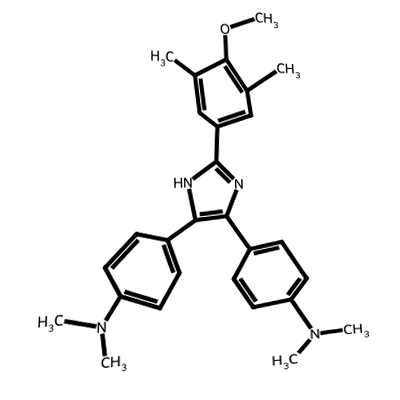 COc1c(C)cc(-c2nc(-c3ccc(N(C)C)cc3)c(-c3ccc(N(C)C)cc3)[nH]2)cc1C